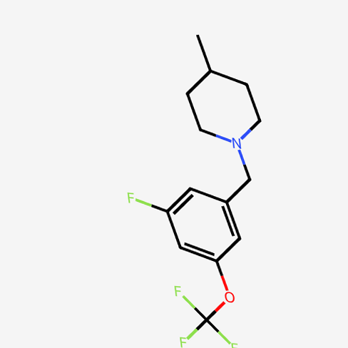 CC1CCN(Cc2cc(F)cc(OC(F)(F)F)c2)CC1